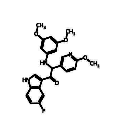 COc1cc(NC(C(=O)c2c[nH]c3ccc(F)cc23)c2ccc(OC)nc2)cc(OC)c1